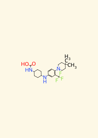 CC1(C)CCN(c2ccc(NC3CCC(NC(=O)O)CC3)cc2C(F)(F)F)CC1